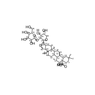 CC1(C)CC[C@]2(C(=O)O)C(O)C[C@]3(C)C(=CCC4C5(C)CC[C@H](O[C@@H]6OC[C@@H](O)[C@H](O)C6O[C@@H]6OC(CO)[C@H](O)[C@H](O)C6O)[C@](C)(C=O)[C@@H]5CC[C@@]43C)C2C1